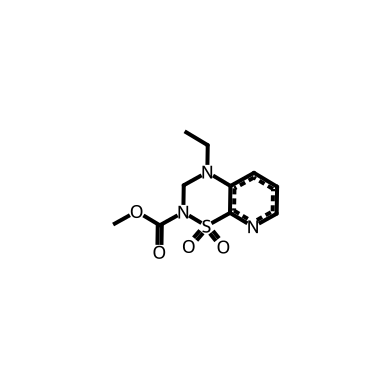 CCN1CN(C(=O)OC)S(=O)(=O)c2ncccc21